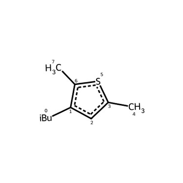 CCC(C)c1cc(C)sc1C